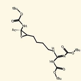 CC(=O)[C@@]1(NC(=O)OC(C)(C)C)SC1CCCCN/C(=N\C(=O)OC(C)(C)C)NC(=O)OC(C)(C)C